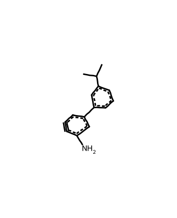 CC(C)c1cccc(-c2cc#cc(N)c2)c1